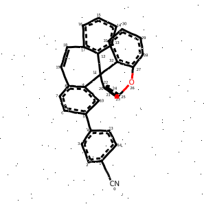 N#Cc1ccc(-c2ccc3c(c2)C2(c4ccccc4C=C3)c3ccccc3Oc3ccccc32)cc1